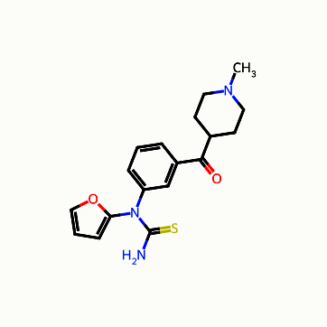 CN1CCC(C(=O)c2cccc(N(C(N)=S)c3ccco3)c2)CC1